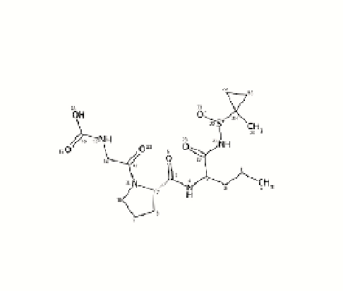 CCCC(NC(=O)[C@@H]1CCCN1C(=O)CNC(=O)O)C(=O)N[S+]([O-])C1(C)CC1